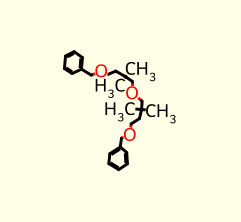 CC(C)(CCOCc1ccccc1)COCC(C)(C)CCOCc1ccccc1